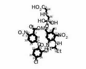 CCC(CC)Nc1c([N+](=O)[O-])cc(C)c(C)c1[N+](=O)[O-].COC(=O)c1cc(Oc2ccc(Cl)cc2Cl)ccc1[N+](=O)[O-].O=C(O)CNCP(=O)(O)O